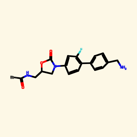 CCC(=O)NCC1CN(c2ccc(-c3ccc(CN)cc3)c(F)c2)C(=O)O1